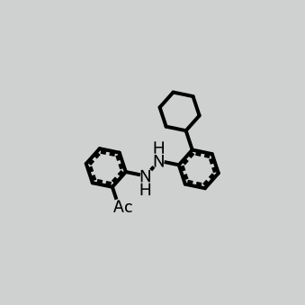 CC(=O)c1ccccc1NNc1ccccc1C1CCCCC1